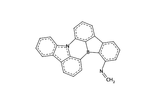 C=Nc1cccc2c1B1c3c-2cccc3-n2c3ccccc3c3cccc1c32